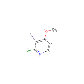 COc1ccnc(Cl)c1I